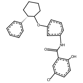 O=C(Nc1cccc(OC2CCCC[C@H]2c2ccccc2)c1)c1cc(Cl)ccc1O